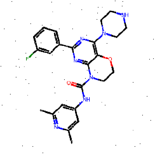 Cc1cc(NC(=O)N2CCOc3c(N4CCNCC4)nc(-c4cccc(F)c4)nc32)cc(C)n1